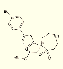 CCc1ccc(-c2ccc([C@@]3(CC(=O)OC(C)(C)C)CCNCCS3(=O)=O)s2)cc1